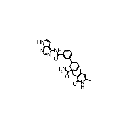 Cc1cc(C)c(CC2(C(N)=O)C=CC=C(c3cccc(C(=O)Nc4ncnc5[nH]ccc45)c3)C2)c(=O)[nH]1